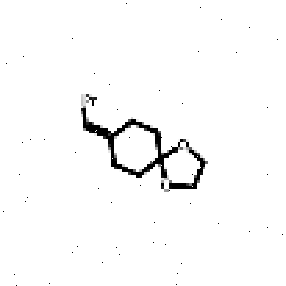 CC(C)C=C1CCC2(CC1)OCCO2